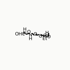 CC[PH]1(OCCOCCOCCNC(=O)CNC=O)OC1C